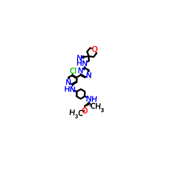 COC[C@@H](C)NC1CCC(Nc2cc(-c3cncc(NCC4(C#N)CCOCC4)n3)c(Cl)cn2)CC1